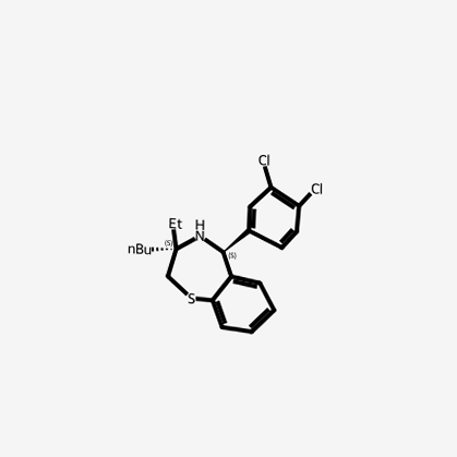 CCCC[C@@]1(CC)CSc2ccccc2[C@H](c2ccc(Cl)c(Cl)c2)N1